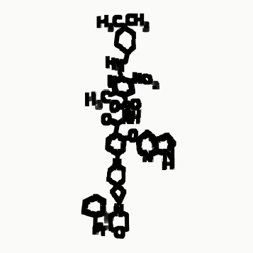 Cc1nc(NCC2CCC(C)(C)CC2)c([N+](=O)[O-])cc1S(=O)(=O)NC(=O)c1ccc(N2CCC3(CC2)CC(N2CCOC[C@@H]2c2ccccc2C(C)C)C3)cc1Oc1cnc2[nH]ccc2c1